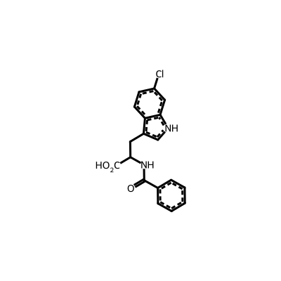 O=C(NC(Cc1c[nH]c2cc(Cl)ccc12)C(=O)O)c1ccccc1